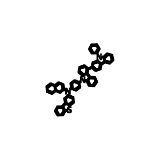 C1=CC2=CC=C(N(c3ccc(-n4c5ccccc5c5c(-c6ccc7c8ccccc8n(-c8ccccc8)c7c6)cccc54)cc3)c3ccc4sc5ccccc5c4c3)CC2C=C1